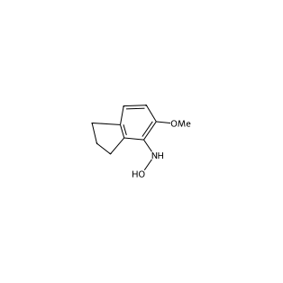 COc1ccc2c(c1NO)CCC2